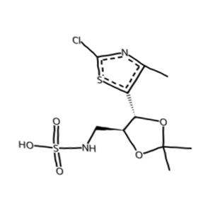 Cc1nc(Cl)sc1[C@@H]1OC(C)(C)O[C@H]1CNS(=O)(=O)O